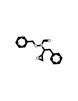 O=CN(OCc1ccccc1)C(Cc1ccccc1)C1CO1